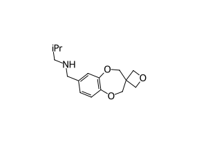 CC(C)CNCc1ccc2c(c1)OCC1(COC1)CO2